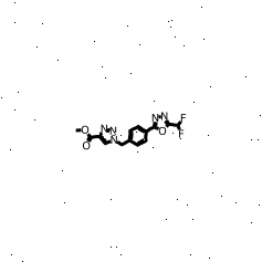 COC(=O)c1cn(Cc2ccc(-c3nnc(C(F)F)o3)cc2)nn1